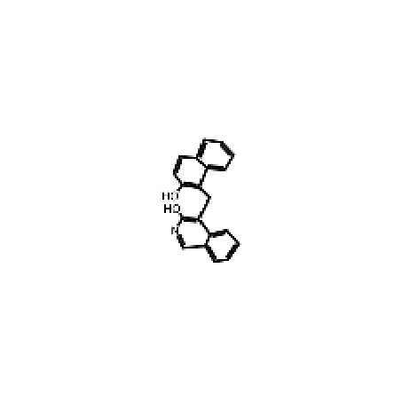 Oc1ccc2ccccc2c1Cc1c(O)ncc2ccccc12